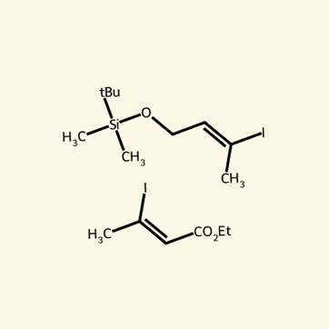 C/C(I)=C\CO[Si](C)(C)C(C)(C)C.CCOC(=O)/C=C(/C)I